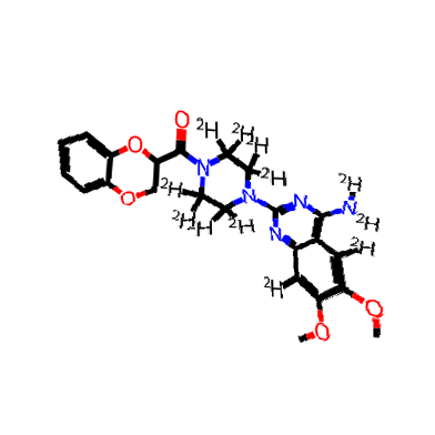 [2H]c1c(OC)c(OC)c([2H])c2c(N([2H])[2H])nc(N3C([2H])([2H])C([2H])([2H])N(C(=O)C4COc5ccccc5O4)C([2H])([2H])C3([2H])[2H])nc12